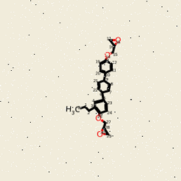 CCCc1cc(C2C=CC(c3ccc(OCC4CO4)cc3)C=C2)ccc1OCC1CO1